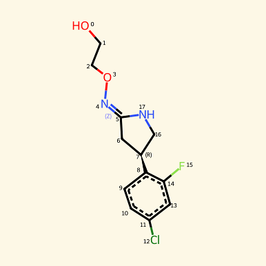 OCCO/N=C1/C[C@H](c2ccc(Cl)cc2F)CN1